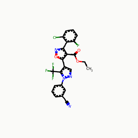 CCOC(=O)c1c(-c2c(F)cccc2Cl)noc1-c1cnn(-c2cccc(C#N)c2)c1C(F)(F)F